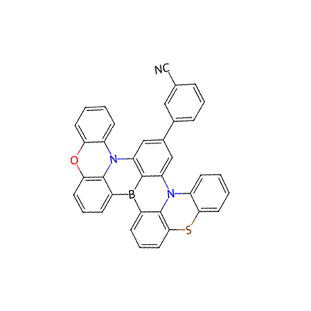 N#Cc1cccc(-c2cc3c4c(c2)N2c5ccccc5Sc5cccc(c52)B4c2cccc4c2N3c2ccccc2O4)c1